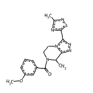 COc1cccc(C(=O)N2CCn3c(-c4nc(C)ns4)nnc3C2C)c1